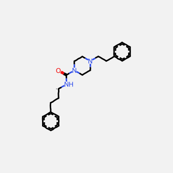 O=C(N[CH]CCc1ccccc1)N1CCN(CCc2ccccc2)CC1